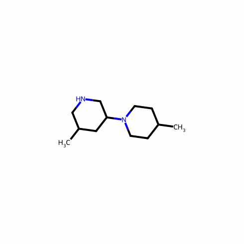 CC1CCN(C2CNCC(C)C2)CC1